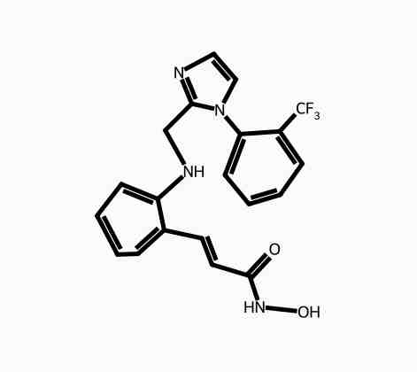 O=C(/C=C/c1ccccc1NCc1nccn1-c1ccccc1C(F)(F)F)NO